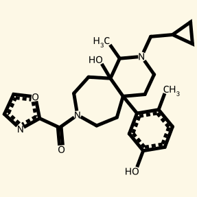 Cc1ccc(O)cc1C12CCN(C(=O)c3ncco3)CCC1(O)C(C)N(CC1CC1)CC2